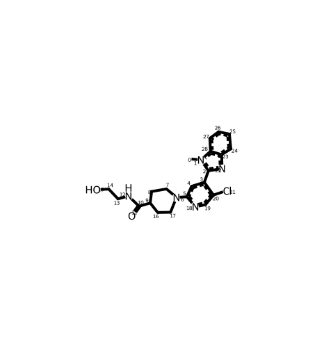 Cn1c(-c2cc(N3CCC(C(=O)NCCO)CC3)ncc2Cl)nc2ccccc21